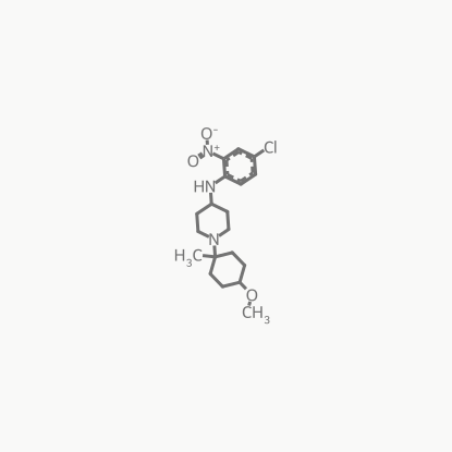 COC1CCC(C)(N2CCC(Nc3ccc(Cl)cc3[N+](=O)[O-])CC2)CC1